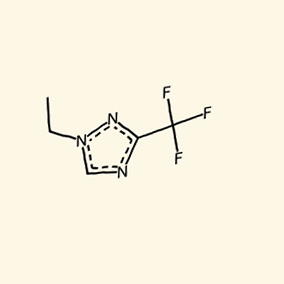 CCn1cnc(C(F)(F)F)n1